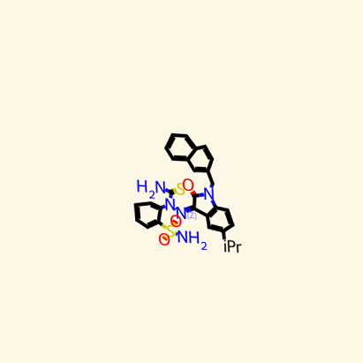 CC(C)c1ccc2c(c1)/C(=N/N(C(N)=S)c1ccccc1S(N)(=O)=O)C(=O)N2Cc1ccc2ccccc2c1